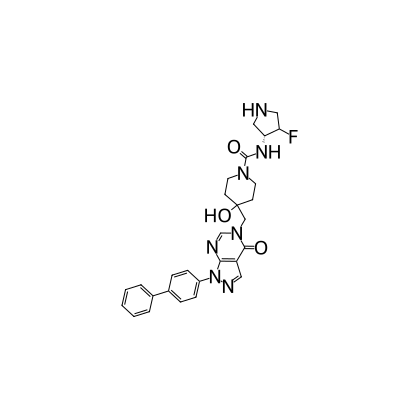 O=C(N[C@@H]1CNCC1F)N1CCC(O)(Cn2cnc3c(cnn3-c3ccc(-c4ccccc4)cc3)c2=O)CC1